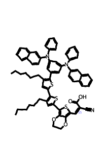 CCCCCCc1cc(-c2sc(-c3sc(/C=C(/C#N)C(=O)O)c4c3OCCO4)cc2CCCCCC)sc1-c1cc(N(c2ccccc2)c2ccc3ccccc3c2)cc(N(c2ccccc2)c2ccc3ccccc3c2)c1